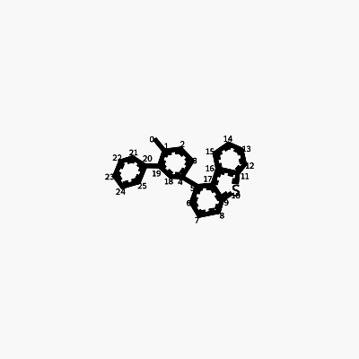 Cc1ccc(-c2cccc3sc4ccccc4c23)cc1-c1ccccc1